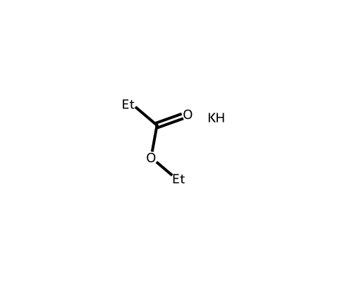 CCOC(=O)CC.[KH]